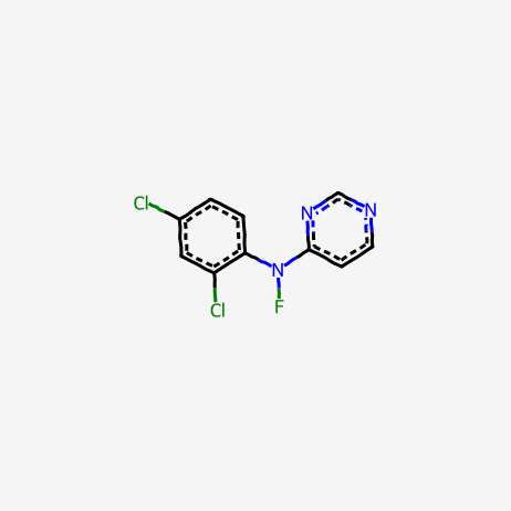 FN(c1ccncn1)c1ccc(Cl)cc1Cl